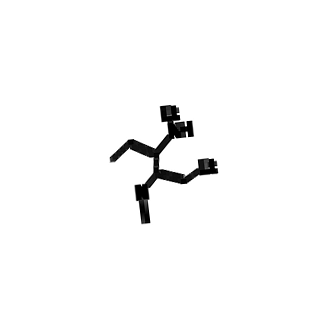 C=NC(=C/CC)/C(=C\C)NCC